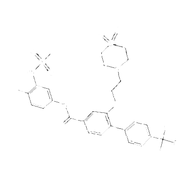 CS(=O)(=O)Nc1cc(NC(=O)c2ccc(-c3ccc(C(F)(F)F)cc3)c(OCCN3CCS(=O)(=O)CC3)c2)ccc1O